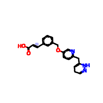 O=C(O)/C=C/c1cccc(COc2ccc(CC3=CCC=NN3)nc2)c1